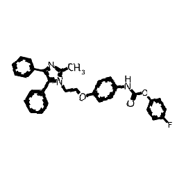 Cc1nc(-c2ccccc2)c(-c2ccccc2)n1CCOc1ccc(NC(=O)Oc2ccc(F)cc2)cc1